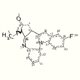 CN1C(=O)CC2C1=Nc1ccccc1-n1c2cc2cc(F)ccc21